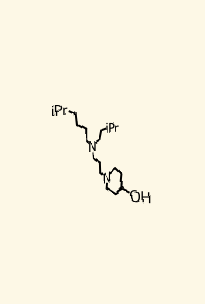 CC(C)CCCCN(CCCN1CCC(O)CC1)CCC(C)C